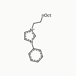 CCCCCCCCCC[n+]1ccn(-c2ccccc2)c1